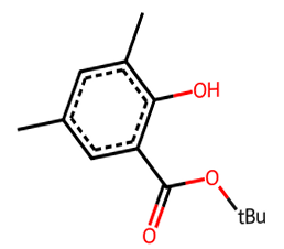 Cc1cc(C)c(O)c(C(=O)OC(C)(C)C)c1